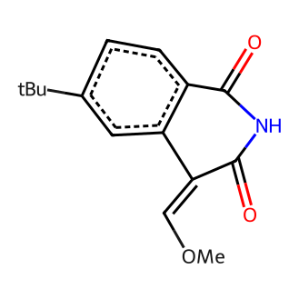 COC=C1C(=O)NC(=O)c2ccc(C(C)(C)C)cc21